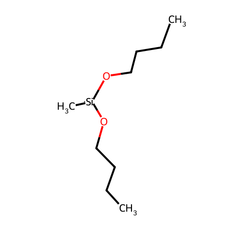 CCCCO[Si](C)OCCCC